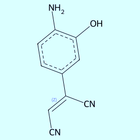 N#C/C=C(\C#N)c1ccc(N)c(O)c1